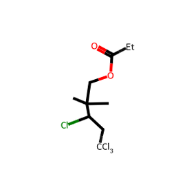 CCC(=O)OCC(C)(C)C(Cl)CC(Cl)(Cl)Cl